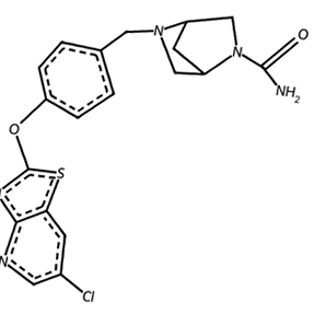 NC(=O)N1CC2CC1CN2Cc1ccc(Oc2nc3ncc(Cl)cc3s2)cc1